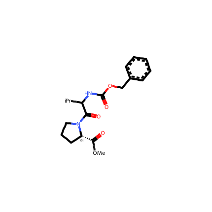 COC(=O)[C@@H]1CCCN1C(=O)C(NC(=O)OCc1ccccc1)C(C)C